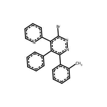 Cc1ccccc1-c1nnc(Br)c(-c2ccccn2)c1-c1ccccc1